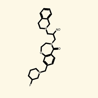 O=NC(CN1CCc2ccccc2C1)CN1CCOc2cc(CN3CCCC(F)C3)ccc2C1=O